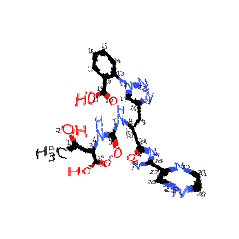 CC(O)C(NC(=O)N[C@@H](Cc1cn(-c2ccccc2C(=O)O)nn1)c1nc(-c2cnccn2)no1)C(=O)O